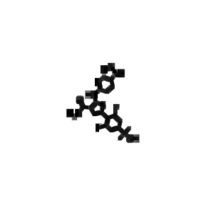 CC(C)(O)c1cc(F)c(-c2cc(C(N)=O)c(Nc3ccc4[nH]nnc4n3)s2)c(F)c1